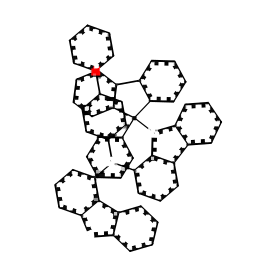 c1ccc(-c2ccc(N(c3cccc4sc5ccccc5c34)c3cccc4c5ccccc5n(C5(c6ccccc6)c6ccccc6-c6ccccc65)c34)cc2)cc1